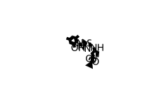 Cc1cc(C)c(-n2cc3sc(NC4CCN(S(=O)(=O)C5CC5)C4)nc3n2)c(O)c1